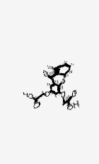 O=C(O)COc1cc(OCC(=O)O)c2sc3ccccc3c(=O)c2c1